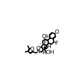 Cc1cc(CN2C[C@@H]3CC4[C@@H]5C[C@H](F)C6=CC(=O)C=C[C@]6(C)[C@@]5(F)[C@@H](O)C[C@]4(C)[C@]3(C(=O)CO)O2)oc1C